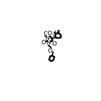 Cc1cccc(-c2cn(CC(=O)O)c(=O)n(CCOCc3ccccc3)c2=O)c1C